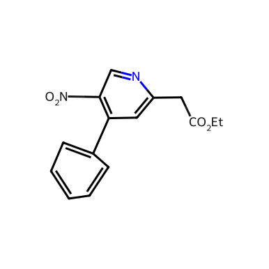 CCOC(=O)Cc1cc(-c2ccccc2)c([N+](=O)[O-])cn1